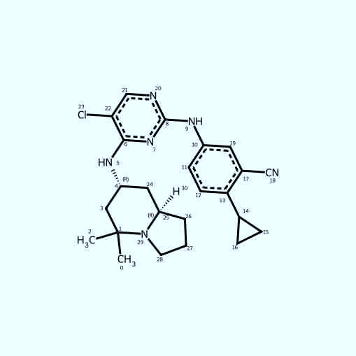 CC1(C)C[C@H](Nc2nc(Nc3ccc(C4CC4)c(C#N)c3)ncc2Cl)C[C@H]2CCCN21